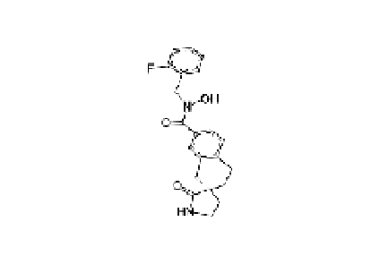 O=C(c1ccc2c(c1)C[C@@]1(CCNC1=O)CC2)N(O)Cc1ccccc1F